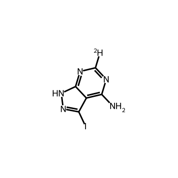 [2H]c1nc(N)c2c(I)n[nH]c2n1